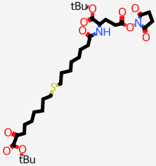 CC(C)(C)OC(=O)C(=O)CCCCCCCSCCCCCCCC(=O)NC(CCC(=O)ON1C(=O)CCC1=O)C(=O)OC(C)(C)C